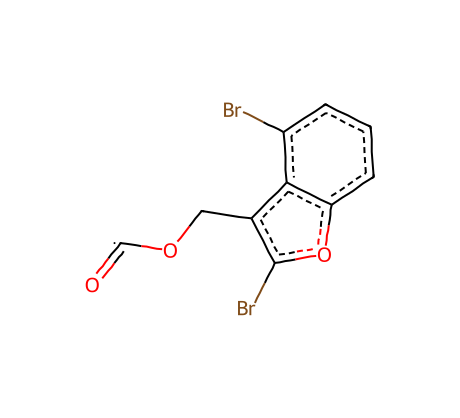 O=[C]OCc1c(Br)oc2cccc(Br)c12